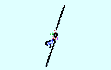 CCCCCCCCCCCCCCCCOc1ccc(OC(CCCCCCCCCCCCCCCC)C(=O)NCc2cccc[n+]2CCC)cc1Cl.[I-]